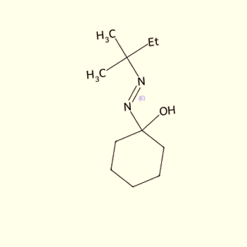 CCC(C)(C)/N=N/C1(O)CCCCC1